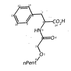 CCCCCOCC(=O)NC(Cc1ccccc1)C(=O)O